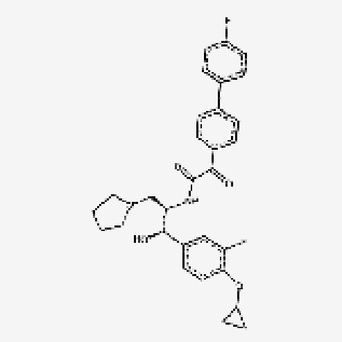 O=C(N[C@H](CN1CCCC1)[C@H](O)c1ccc(OC2CC2)c(F)c1)C(=O)c1ccc(-c2ccc(F)cc2)cc1